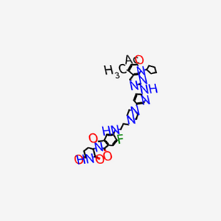 CC(=O)c1c(C)c2cnc(Nc3ccc(N4CCN(CCCNc5cc6c(cc5F)C(=O)N(C5CCC(=O)NC5=O)C6=O)CC4)cn3)nc2n(C2CCCC2)c1=O